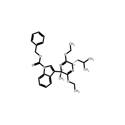 CCOC1=N[C@@](C)(c2cn(C(=O)OCc3ccccc3)c3ccccc23)C(OCC)=N[C@H]1CC(C)C